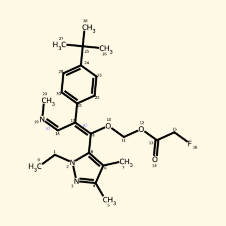 CCn1nc(C)c(C)c1/C(OCOC(=O)CF)=C(\C=N/C)c1ccc(C(C)(C)C)cc1